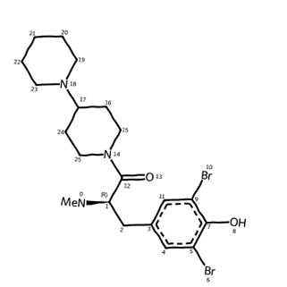 CN[C@H](Cc1cc(Br)c(O)c(Br)c1)C(=O)N1CCC(N2CCCCC2)CC1